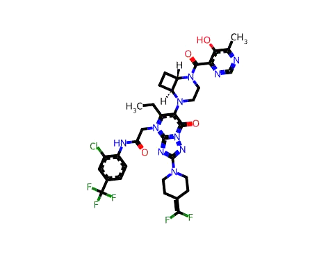 CCc1c(N2CCN(C(=O)c3ncnc(C)c3O)[C@H]3CC[C@@H]32)c(=O)n2nc(N3CCC(=C(F)F)CC3)nc2n1CC(=O)Nc1ccc(C(F)(F)F)cc1Cl